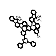 CC1(C)c2ccccc2-c2ccc3c(c21)c1ccccc1n3-c1ccc(-c2nc(-c3ccccc3)nc(-c3ccccc3)n2)cc1-c1ccc(-n2c3ccccc3c3c4c(ccc32)-c2ccccc2C4(C)C)c(-c2cccc(C#N)c2)c1